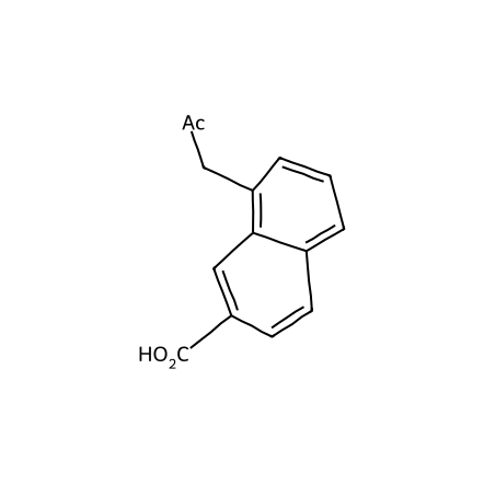 CC(=O)Cc1cccc2ccc(C(=O)O)cc12